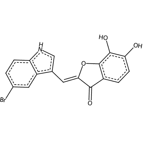 O=C1C(=Cc2c[nH]c3ccc(Br)cc23)Oc2c1ccc(O)c2O